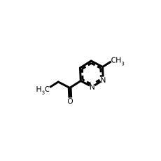 CCC(=O)c1ccc(C)nn1